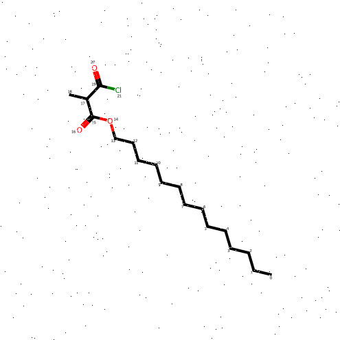 CCCCCCCCCCCCCCOC(=O)C(C)C(=O)Cl